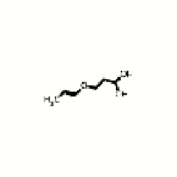 CC=COCCC(O)O